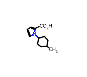 CC1CC[C](n2cccc2C(=O)O)CC1